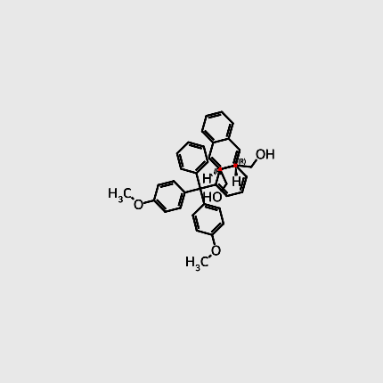 COc1ccc(C(c2ccccc2)(c2ccc(OC)cc2)c2cccc3c4c5ccccc5c(c23)[C@H](CO)[C@H]4CO)cc1